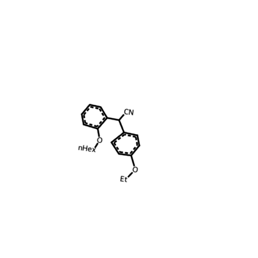 CCCCCCOc1ccccc1C(C#N)c1ccc(OCC)cc1